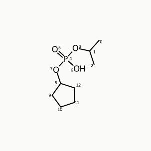 CC(C)OP(=O)(O)OC1CCCC1